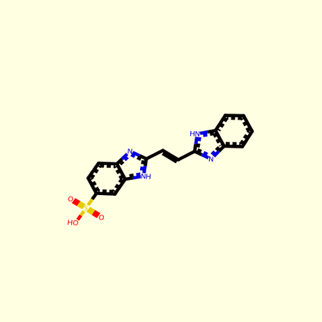 O=S(=O)(O)c1ccc2nc(C=Cc3nc4ccccc4[nH]3)[nH]c2c1